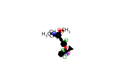 COC(=O)c1cc(C#Cc2ccc(OCc3c(-c4c(Cl)cccc4Cl)noc3C3CC3)cc2Cl)cc(CNC(C)(C)C)c1